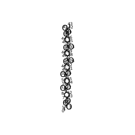 C=CC(=O)OOc1ccc(C(=O)Oc2ccc(C(=O)OC3=CC=C(OC(=O)c4ccc(OC(=O)c5ccc(OOC(=O)C=C)cc5)cc4)CC3)cc2)cc1